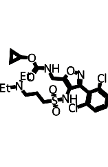 CCN(CC)CCCS(=O)(=O)Nc1c(-c2c(Cl)cccc2Cl)noc1CNC(=O)OC1CC1